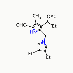 CCc1cn(Cc2[nH]c(C=O)c(C)c2C(CC)OC(C)=O)cc1CC